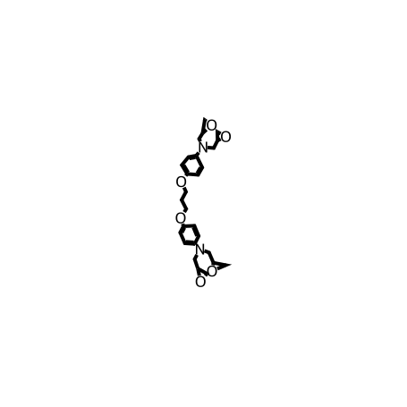 c1cc(N(CC2CO2)CC2CO2)ccc1OCCCOc1ccc(N(CC2CO2)CC2CO2)cc1